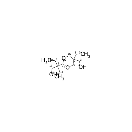 CCC1(CO)COC(C(CC)(CC)CO)OC1